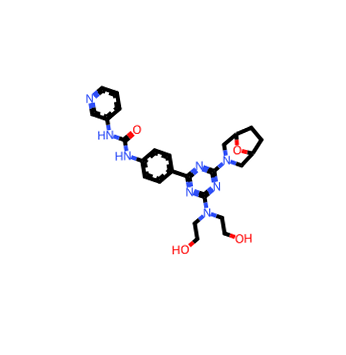 O=C(Nc1ccc(-c2nc(N(CCO)CCO)nc(N3CC4CCC(C3)O4)n2)cc1)Nc1cccnc1